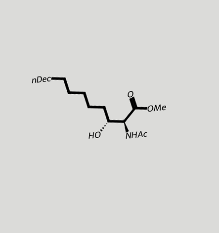 CCCCCCCCCCCCCCC[C@@H](O)[C@H](NC(C)=O)C(=O)OC